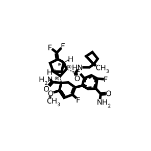 COC1=CC(F)=C(c2cc(C(N)=O)c(F)cc2F)CC1(C(N)=O)[C@@H]1[C@H]2CC(=C(F)F)[C@H](C2)[C@@H]1C(=O)NCC1(C)CCC1